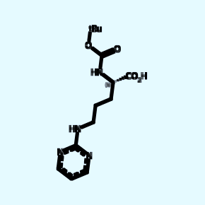 CC(C)(C)OC(=O)N[C@@H](CCCNc1ncccn1)C(=O)O